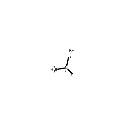 BN(C)C.[KH]